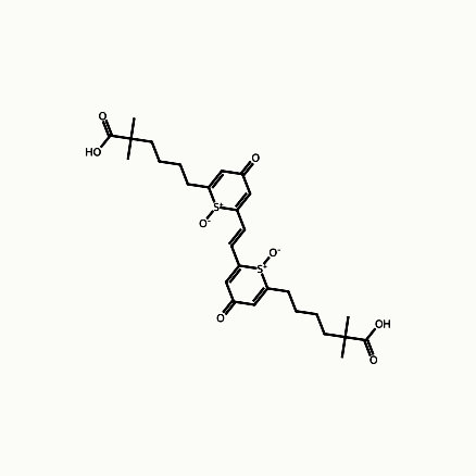 CC(C)(CCCCc1cc(=O)cc(C=Cc2cc(=O)cc(CCCCC(C)(C)C(=O)O)[s+]2[O-])[s+]1[O-])C(=O)O